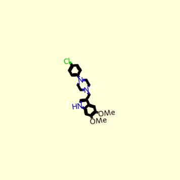 COc1cc2[nH]cc(CN3CCN(c4ccc(Cl)cc4)CC3)c2cc1OC